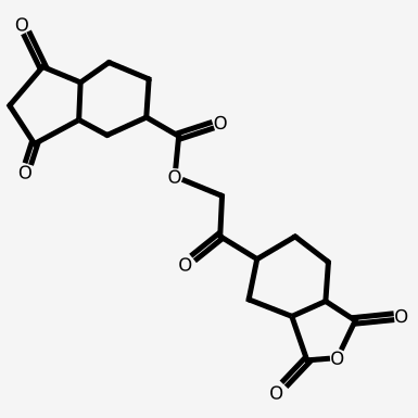 O=C(COC(=O)C1CCC2C(=O)CC(=O)C2C1)C1CCC2C(=O)OC(=O)C2C1